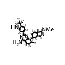 CNc1ncc2cc(-c3c(C)ccc4c(N)nc(-c5ccc6c(c5)NCC6(C)C)nc34)ccc2n1